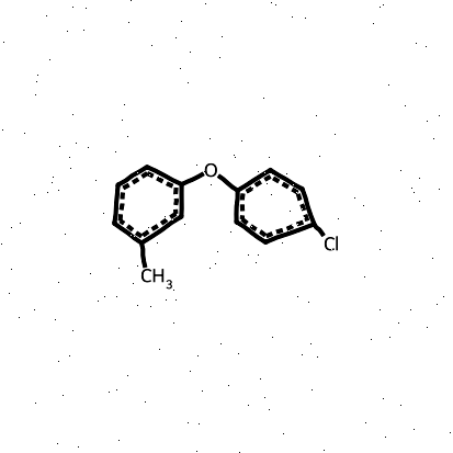 Cc1cccc(Oc2ccc(Cl)cc2)c1